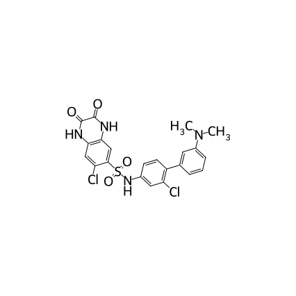 CN(C)c1cccc(-c2ccc(NS(=O)(=O)c3cc4[nH]c(=O)c(=O)[nH]c4cc3Cl)cc2Cl)c1